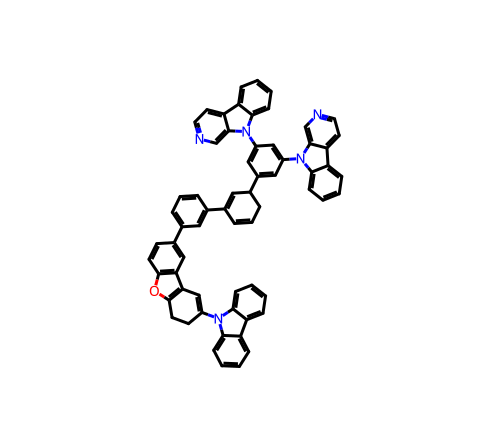 C1=CC(c2cccc(-c3ccc4oc5c(c4c3)C=C(n3c4ccccc4c4ccccc43)CC5)c2)=CC(c2cc(-n3c4ccccc4c4ccncc43)cc(-n3c4ccccc4c4ccncc43)c2)C1